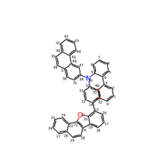 c1ccc(-c2ccccc2N(c2ccc(-c3cccc4c3oc3c5ccccc5ccc43)cc2)c2ccc3ccc4ccccc4c3c2)cc1